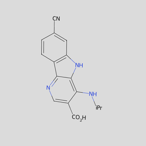 CC(C)Nc1c(C(=O)O)cnc2c1[nH]c1cc(C#N)ccc12